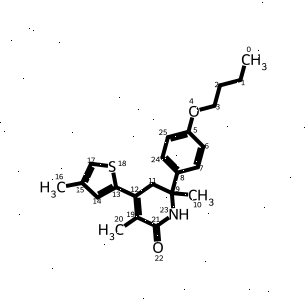 CCCCOc1ccc(C2(C)CC(c3cc(C)cs3)=C(C)C(=O)N2)cc1